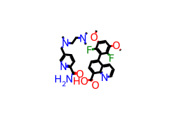 CN(C)CCN(C)Cc1ccc(C(N)=O)nc1.COc1cc(OC)c(F)c(-c2ccc(C(=O)O)c3ncccc23)c1F